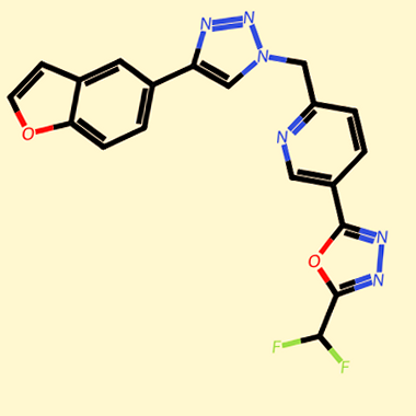 FC(F)c1nnc(-c2ccc(Cn3cc(-c4ccc5occc5c4)nn3)nc2)o1